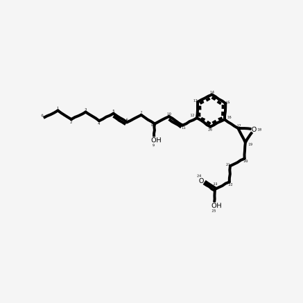 CCCCCC=CCC(O)C=Cc1cccc(C2OC2CCCC(=O)O)c1